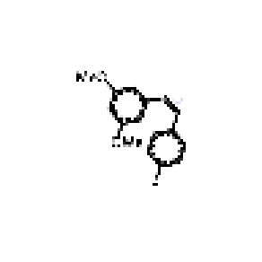 COc1cc(/C=C\c2ccc(F)cc2)cc(OC)c1